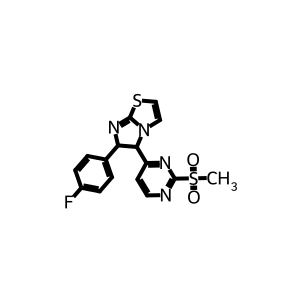 CS(=O)(=O)c1nccc(C2C(c3ccc(F)cc3)N=C3SC=CN32)n1